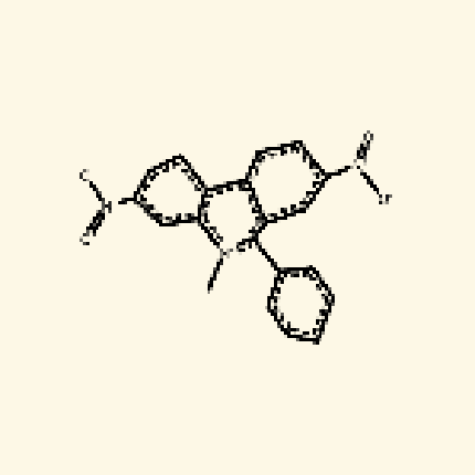 C[n+]1c(-c2ccccc2)c2cc([N+](=O)[O-])ccc2c2ccc([N+](=O)[O-])cc21